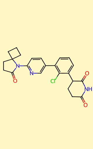 O=C1CCC(c2cccc(-c3ccc(N4C(=O)CCC45CCC5)nc3)c2Cl)C(=O)N1